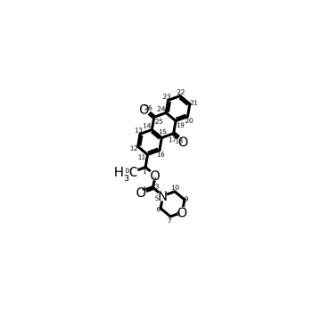 CC(OC(=O)N1CCOCC1)c1ccc2c(c1)C(=O)c1ccccc1C2=O